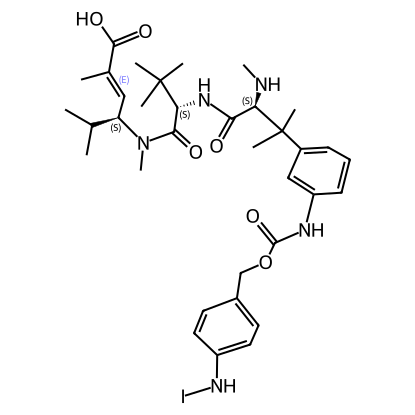 CN[C@H](C(=O)N[C@H](C(=O)N(C)[C@H](/C=C(\C)C(=O)O)C(C)C)C(C)(C)C)C(C)(C)c1cccc(NC(=O)OCc2ccc(NI)cc2)c1